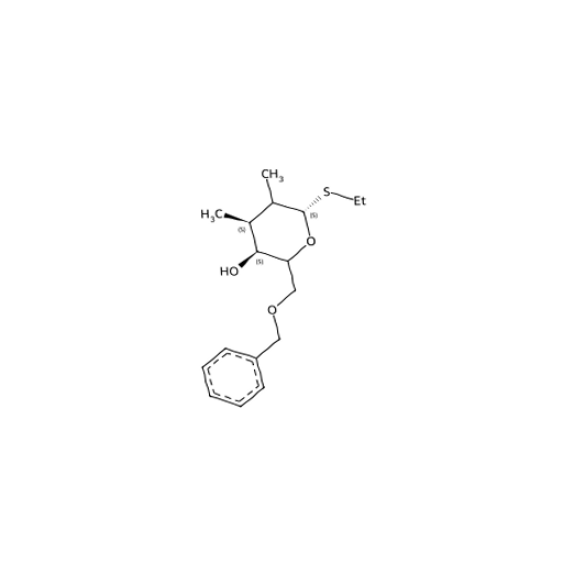 CCS[C@@H]1OC(COCc2ccccc2)[C@@H](O)[C@@H](C)C1C